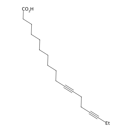 CCC#CCCC#CCCCCCCCCCC(=O)O